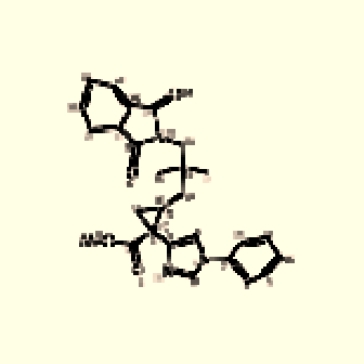 COC(=O)[C@@]1(c2cn(-c3ccccc3)cn2)C[C@H]1CC(C)(C)CN1C(=O)c2ccccc2C1=O